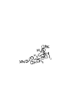 COCC1CCOC(/C=C/C(C)=C/CC2OC(C)C(NC(=O)/C=C\C(C)OC(C)=O)CC2C)C1O